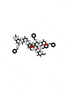 CCC1O[C@H](OCC2O[C@@H](O[C@@H]3C(COCc4ccccc4)O[C@@H](OCc4ccccc4)[C@@H](C)C3C)[C@H](OCc3ccccc3)C(O[C@@H]3OC(CC)[C@H](C)[C@@H](C)C3O[C@@H]3OC(CC)[C@@H](O[C@@H]4OC(COCc5ccccc5)[C@H](C)C(C)[C@@H]4OC(C)=O)C(C)[C@@H]3C)[C@@H]2O)[C@H](OC(=O)OCC(Cl)(Cl)Cl)C(C)[C@@H]1C